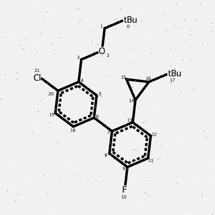 CC(C)(C)COCc1cc(-c2cc(F)ccc2C2CC2C(C)(C)C)ccc1Cl